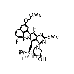 CCc1c(F)ccc2cc(OCOC)cc(-c3nc(C#C[Si](C(C)C)(C(C)C)C(C)C)c4c(N5CCC[C@@](C)(O)C5)nc(SC)nc4c3F)c12